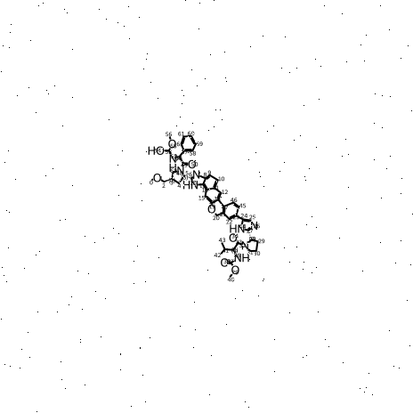 COC[C@@H]1C[C@@H](c2nc3ccc4cc5c(cc4c3[nH]2)OCc2cc(-c3cnc([C@@H]4CCCN4C(=O)[C@@H](NC(=O)OC)C(C)C)[nH]3)ccc2-5)N(C(=O)[C@H](NC(O)OC)c2ccccc2)C1